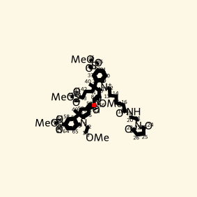 COCCN1/C(=C/C=C/C=C/C2=[N+](CCCCCC(=O)NCCN3C(=O)C=CC3=O)c3ccc(S(=O)(=O)OC)cc3C2(C)CCCS(=O)(=O)OC)C(C)(CCCS(=O)(=O)OC)c2cc(S(=O)(=O)OC)ccc21